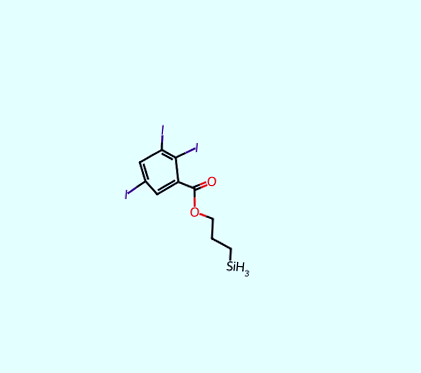 O=C(OCCC[SiH3])c1cc(I)cc(I)c1I